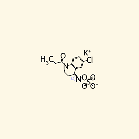 CCC(=O)N1CC/C(=N/OS(=O)(=O)[O-])c2cc(Cl)ccc21.[K+]